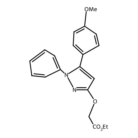 CCOC(=O)COc1cc(-c2ccc(OC)cc2)n(-c2ccccc2)n1